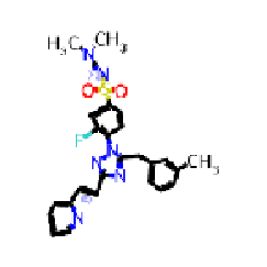 Cc1cccc(Cc2nc(/C=C/c3ccccn3)nn2-c2ccc(S(=O)(=O)/N=C/N(C)C)cc2F)c1